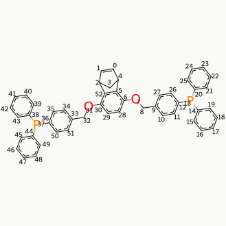 C1=CC2CC1c1c(OCc3ccc(P(c4ccccc4)c4ccccc4)cc3)ccc(OCc3ccc(P(c4ccccc4)c4ccccc4)cc3)c12